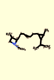 CC(C)C1C(C)C1CCCC1C(C)CN1C